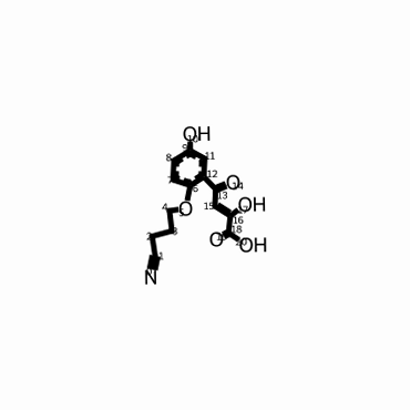 N#CCCCOc1ccc(O)cc1C(=O)C=C(O)C(=O)O